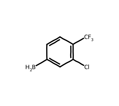 Bc1ccc(C(F)(F)F)c(Cl)c1